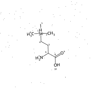 C[SeH](C)(I)CCC(N)C(=O)O